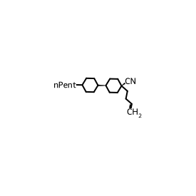 C=CCC[C@]1(C#N)CC[C@@H](C2CCC(CCCCC)CC2)CC1